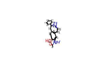 CC(=O)Nc1cc2c(cc1O)CC(c1ccccc1)NCC2